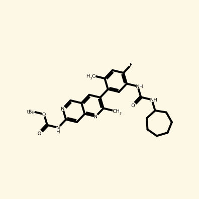 Cc1cc(F)c(NC(=O)NC2CCCCCC2)cc1-c1cc2cnc(NC(=O)OC(C)(C)C)cc2nc1C